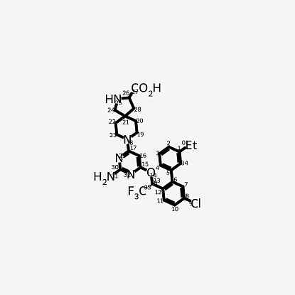 CCc1cccc(-c2cc(Cl)ccc2[C@@H](Oc2cc(N3CCC4(CC3)CNC(C(=O)O)C4)nc(N)n2)C(F)(F)F)c1